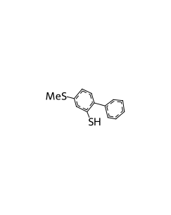 CSc1ccc(-c2ccccc2)c(S)c1